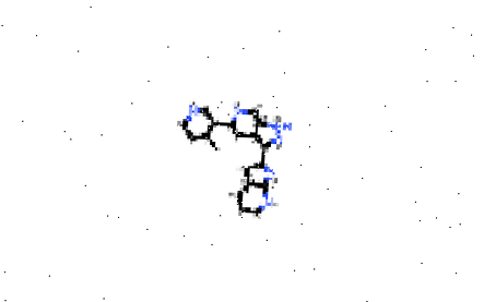 Cc1ccncc1-c1cc2c(-c3cc4cccnc4[nH]3)n[nH]c2cn1